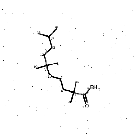 BC(=O)C(C)(C)CCOC(C)(C)CCC(C)C